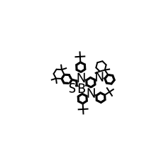 CC(C)(C)c1ccc(N2c3cc(N4c5ccccc5C5(C)CCCCC45C)cc4c3B(c3ccc(C(C)(C)C)cc3N4c3cccc(C(C)(C)C)c3)c3sc4cc5c(cc4c32)C(C)(C)CCC5(C)C)cc1